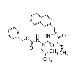 CSCC(=O)[C@H](Cc1ccc2ccccc2c1)NC(=O)[C@H](CC(C)C)NC(=O)OCc1ccccc1